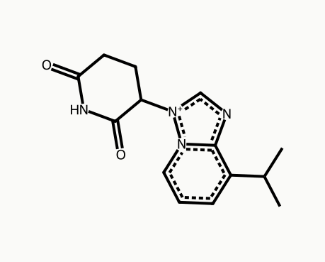 CC(C)c1cccn2c1nc[n+]2C1CCC(=O)NC1=O